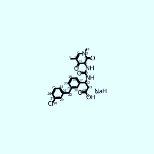 CC1=CN(C)C(=O)C(NC(=O)NC(CC(=O)O)c2cccc(Cc3cccc(Cl)c3)c2)C1=O.[NaH]